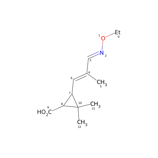 CCO/N=C/C(C)=C/C1C(C(=O)O)C1(C)C